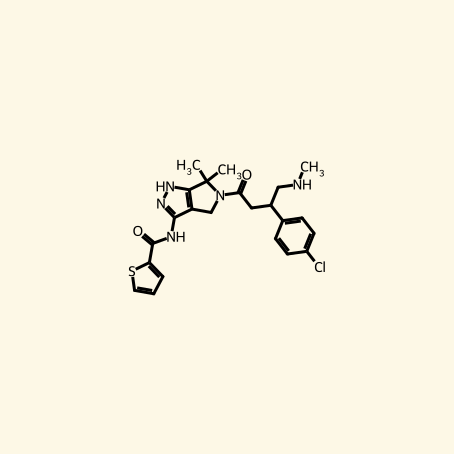 CNCC(CC(=O)N1Cc2c(NC(=O)c3cccs3)n[nH]c2C1(C)C)c1ccc(Cl)cc1